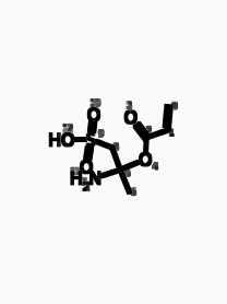 C=CC(=O)OC(C)(N)CS(=O)(=O)O